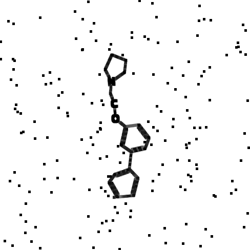 [c]1ccc(-c2cccc(OCCN3CCCC3)c2)cc1